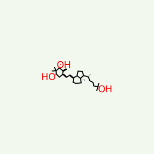 C=C1/C(=C\C=C2/CCC[C@@]3(C)C2CCC3[C@H](C)CCCC(C)(C)O)C[C@@H](O)C(C)(C)[C@@H]1O